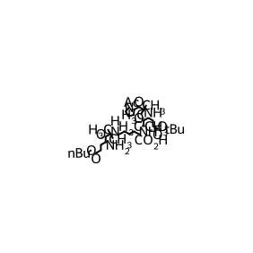 CCCCOC(=O)CCC(N)C(=O)C(C)(C)NCCCCC(NC(C)(C)C(=O)C(CCC(=O)OC(C)(C)C)NC(C)(C)C(=O)C1CCCN1C(C)=O)C(=O)O